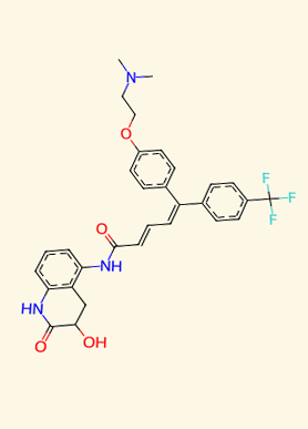 CN(C)CCOc1ccc(/C(=C\C=C\C(=O)Nc2cccc3c2CC(O)C(=O)N3)c2ccc(C(F)(F)F)cc2)cc1